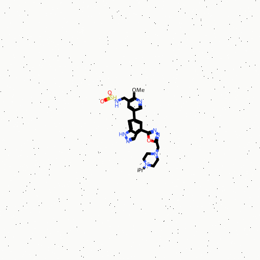 COc1ncc(-c2cc(-c3nnc(CN4CCN(C(C)C)CC4)o3)c3cn[nH]c3c2)cc1CN[SH](=O)=O